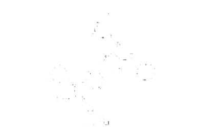 CCOC1N(c2ccccc2)c2nccnc2N1c1cc(C)cc(C)c1.Cc1cc(C)cc(Nc2nccnc2Nc2ccccc2)c1.Cl